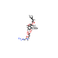 COC1C(OC(=O)CC(=O)CN(C)CCN)CC[C@]2(CO2)C1C(C)(C)OCC=C(C)C